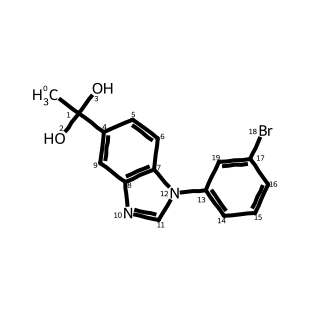 CC(O)(O)c1ccc2c(c1)ncn2-c1cccc(Br)c1